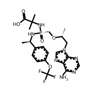 C[C@H](Cn1cnc2c(N)ncnc21)OC[P@](=O)(N[C@H](C)c1ccc(OC(F)(F)F)cc1)NC(C)(C)C(=O)O